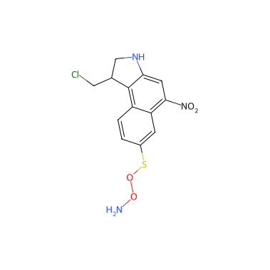 NOOSc1ccc2c3c(cc([N+](=O)[O-])c2c1)NCC3CCl